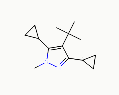 Cn1nc(C2CC2)c(C(C)(C)C)c1C1CC1